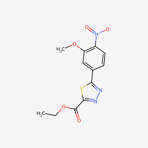 CCOC(=O)c1nnc(-c2ccc([N+](=O)[O-])c(OC)c2)s1